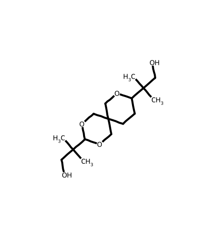 CC(C)(CO)C1CCC2(CO1)COC(C(C)(C)CO)OC2